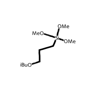 CO[Si](CCCOCC(C)C)(OC)OC